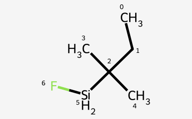 CCC(C)(C)[SiH2]F